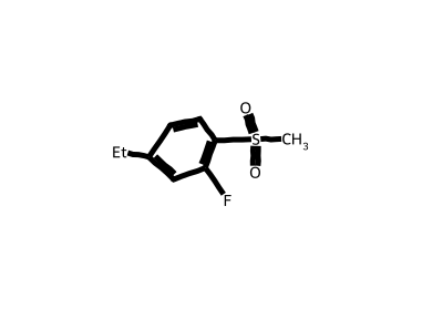 CCc1ccc(S(C)(=O)=O)c(F)c1